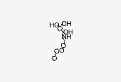 OCc1cc([C@@H](O)CNCCc2ccc(Oc3cccc(-c4ccccc4)c3)cc2)ccc1O